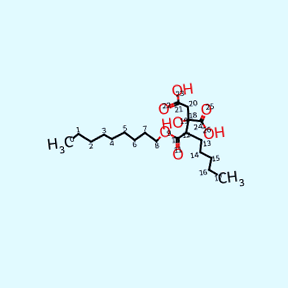 CCCCCCCCCOC(=O)C(CCCCC)C(O)(CC(=O)O)C(=O)O